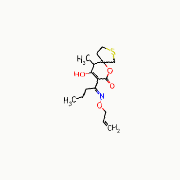 C=CCON=C(CCC)C1=C(O)C(C)C2(CCSC2)OC1=O